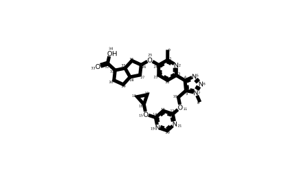 Cc1nc(-c2nnn(C)c2COc2cc(OC3CC3)ncn2)ccc1OC1CC2CCC(C(=O)O)C2C1